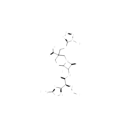 CON=C(C(=O)NC1C(=O)N2CC(CSc3nnnn3C)(C(=O)O)CS[C@H]12)c1nsc(N)n1